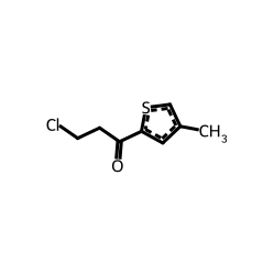 Cc1csc(C(=O)CCCl)c1